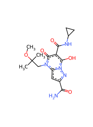 COC(C)(C)Cn1c(=O)c(C(=O)NC2CC2)c(O)n2nc(C(N)=O)cc12